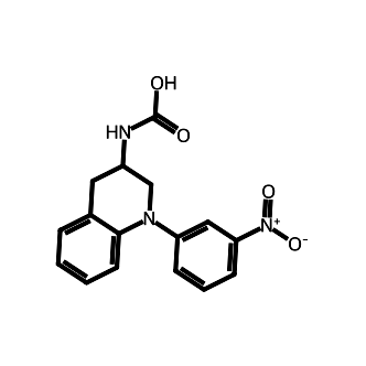 O=C(O)NC1Cc2ccccc2N(c2cccc([N+](=O)[O-])c2)C1